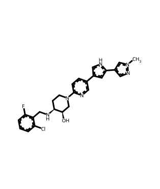 Cn1cc(-c2cc(-c3ccc(N4CC[C@H](NCc5c(F)cccc5Cl)[C@H](O)C4)nc3)c[nH]2)cn1